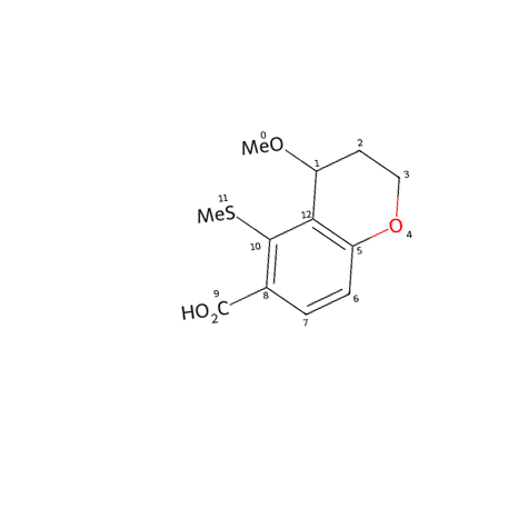 COC1CCOc2ccc(C(=O)O)c(SC)c21